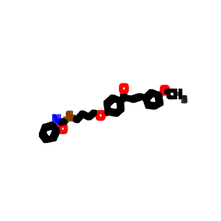 COc1cccc(C=CC(=O)c2ccc(OCCCCSc3nc4ccccc4o3)cc2)c1